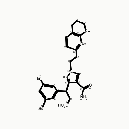 CC(C)(C)c1cc(Br)cc(C(CC(=O)O)c2nn(CCc3ccc4c(n3)NCCC4)cc2C(N)=O)c1